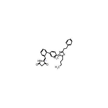 CCCCC1=NC(CCc2ccccc2)=N[N+]1(C)c1ccc(-c2ccccc2/C=C2\NC(=O)CC2=O)cc1